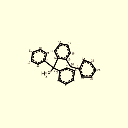 PC(c1ccccc1)(c1ccccc1)c1ccccc1Cc1ccccc1